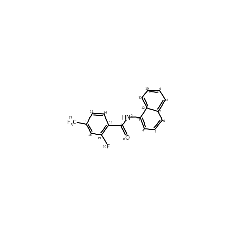 O=C(Nc1cccc2ccccc12)c1ccc(C(F)(F)F)cc1F